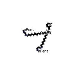 CCCCC/C=C\C/C=C\CCCCCCCCOCCN(CCCCCCCC/C=C\C/C=C\CCCCC)C(=O)OCC1CCCN(C)C1